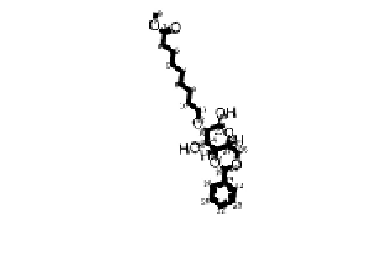 COC(=O)CCCCCCCCO[C@@H]1[C@@H](O)[C@H]2OC(c3ccccc3)OC[C@H]2O[C@H]1O